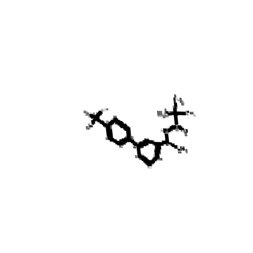 C[C@H](N[S+]([O-])C(C)(C)C)c1cccc(-c2ccc(C(F)(F)F)cc2)c1